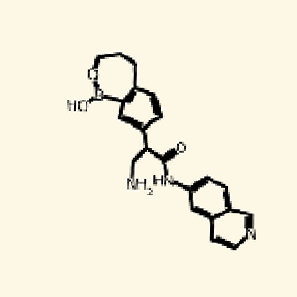 NCC(C(=O)Nc1ccc2cnccc2c1)c1ccc2c(c1)B(O)OCCC2